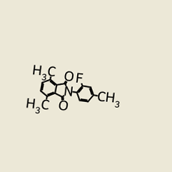 Cc1ccc(N2C(=O)c3c(C)ccc(C)c3C2=O)c(F)c1